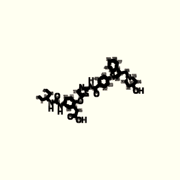 CCC(CC)NC(=O)Nc1ccc(Oc2cnc(NC(=O)c3ccc(-n4cc(CN5CCC(O)CC5)c5ccccc54)cc3)s2)c(CC(=O)O)c1